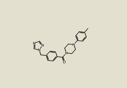 Cc1ccc(N2CCN(C(=O)c3ccc(Cn4cncn4)cc3)CC2)cc1